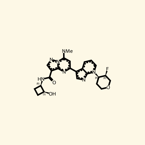 CNc1cc(-c2cnc3n([C@@H]4CCOC[C@@H]4F)cccc2-3)nc2c(C(=O)N[C@@H]3CC[C@@H]3O)cnn12